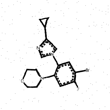 Fc1cc(N2CCOCC2)c(-n2cnc(C3CC3)c2)cc1Br